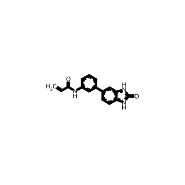 C=CC(=O)Nc1cccc(-c2ccc3[nH]c(=O)[nH]c3c2)c1